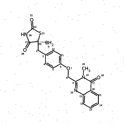 B[C@@]1(Cc2ccc(OCc3nc4ccccc4c(=O)n3C)cc2)SC(=O)NC1=O